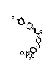 CCCc1ccc(C2CCN(CCC(=S)N3CCC(Oc4ccc([N+](=O)[O-])c(C(F)(F)F)c4)CC3)CC2)cc1